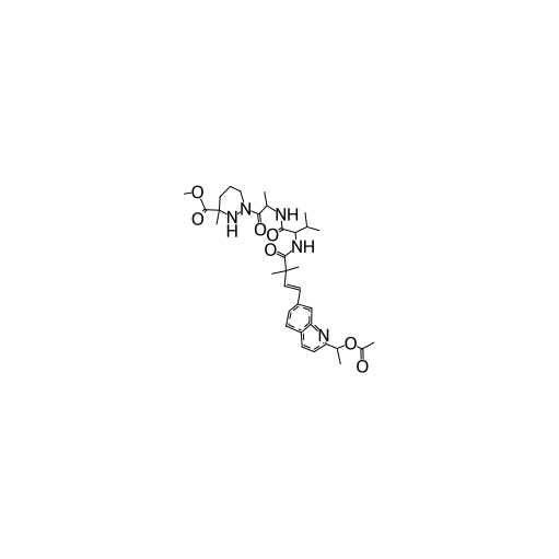 COC(=O)C1(C)CCCN(C(=O)C(C)NC(=O)C(NC(=O)C(C)(C)/C=C/c2ccc3ccc(C(C)OC(C)=O)nc3c2)C(C)C)N1